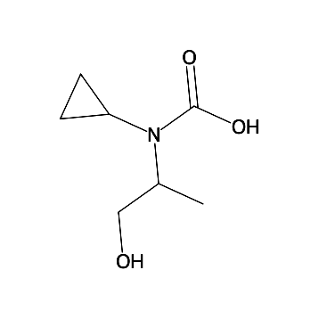 CC(CO)N(C(=O)O)C1CC1